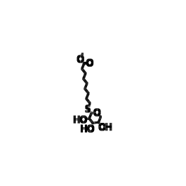 COC(=O)CCCCCCCCS[C@@H]1OC[C@@H](O)[C@H](O)[C@H]1O